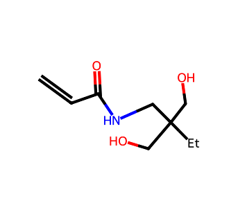 C=CC(=O)NCC(CC)(CO)CO